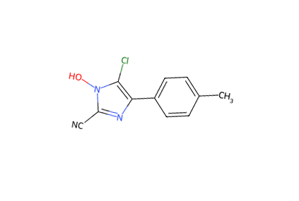 Cc1ccc(-c2nc(C#N)n(O)c2Cl)cc1